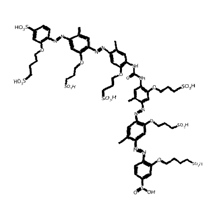 Cc1cc(N=Nc2cc(OCCCS(=O)(=O)O)c(NC(=O)Nc3cc(C)c(N=Nc4cc(C)c(N=Nc5ccc(S(=O)(=O)O)cc5OCCCCS(=O)(=O)O)cc4OCCCS(=O)(=O)O)cc3OCCCS(=O)(=O)O)cc2C)c(OCCCS(=O)(=O)O)cc1N=Nc1ccc(S(=O)O)cc1OCCCCS(=O)(=O)O